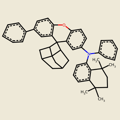 CC1(C)CCC(C)(C)c2c(N(c3ccccc3)c3ccc4c(c3)C3(c5cc(-c6ccccc6)ccc5O4)C4CC5CC6CC3C64C5)cccc21